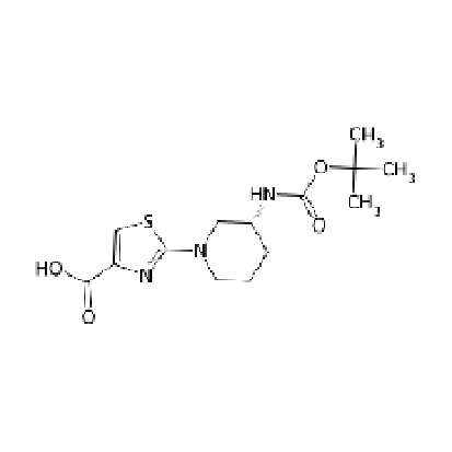 CC(C)(C)OC(=O)N[C@@H]1CCCN(c2nc(C(=O)O)cs2)C1